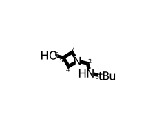 CC(C)(C)NCN1CC(O)C1